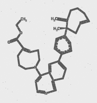 C=C1CCC/C=C/C[C@]1(C)c1ccc(C2=CCC3=CN=CC=C(N4CC/C=C(\C(=O)OCC)CCC4)C3=C2)cc1